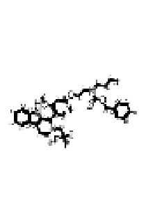 COc1cc(OCCN(CCCF)C(=O)OCc2ccccc2)ncc1[C@@H]1c2[nH]c3ccccc3c2C[C@@H](C)N1CC(F)(F)F